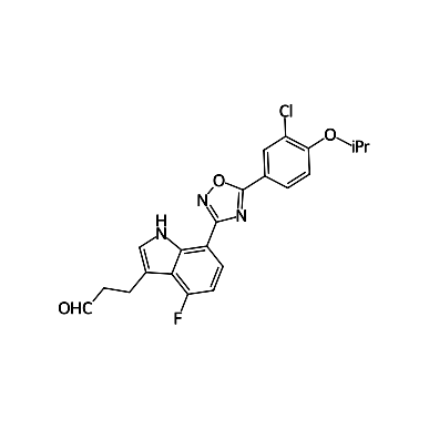 CC(C)Oc1ccc(-c2nc(-c3ccc(F)c4c(CCC=O)c[nH]c34)no2)cc1Cl